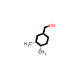 C[C@@H]1CC(CO)CC[C@@H]1C